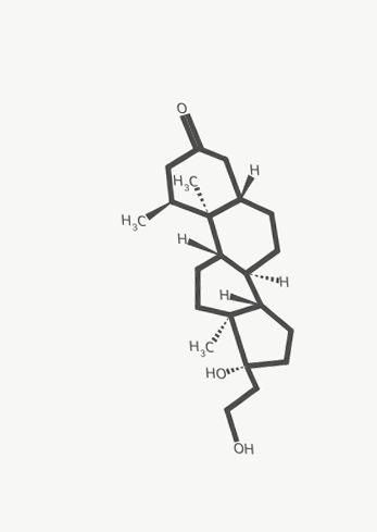 C[C@H]1CC(=O)C[C@@H]2CC[C@@H]3[C@H](CC[C@@]4(C)[C@H]3CC[C@@]4(O)CCO)[C@]21C